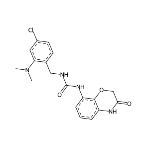 CN(C)c1cc(Cl)ccc1CNC(=O)Nc1cccc2c1OCC(=O)N2